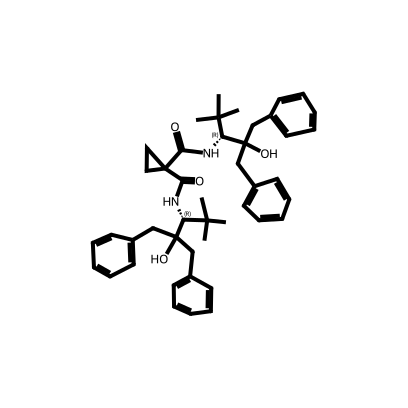 CC(C)(C)[C@@H](NC(=O)C1(C(=O)N[C@H](C(C)(C)C)C(O)(Cc2ccccc2)Cc2ccccc2)CC1)C(O)(Cc1ccccc1)Cc1ccccc1